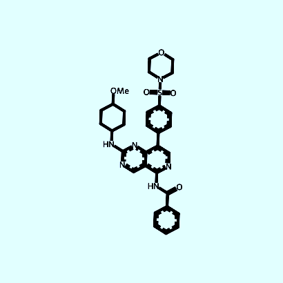 COC1CCC(Nc2ncc3c(NC(=O)c4ccccc4)ncc(-c4ccc(S(=O)(=O)N5CCOCC5)cc4)c3n2)CC1